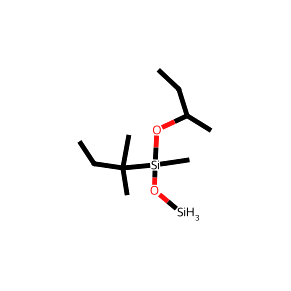 CCC(C)O[Si](C)(O[SiH3])C(C)(C)CC